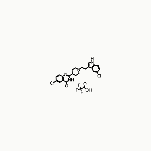 O=C(O)C(F)(F)F.O=c1[nH]c(C2CCN(CCc3c[nH]c4ccc(Cl)cc34)CC2)nc2ccc(Cl)cc12